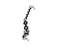 CCCCCCCCCCOc1ccc(-c2ccc(C(=O)OC(COCC)C(F)(F)F)cc2)cc1